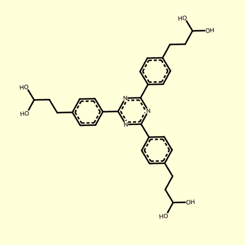 OC(O)CCc1ccc(-c2nc(-c3ccc(CCC(O)O)cc3)nc(-c3ccc(CCC(O)O)cc3)n2)cc1